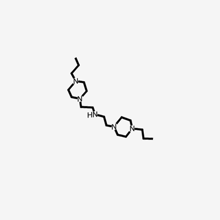 CCCN1CCN(CCNCCN2CCN(CCC)CC2)CC1